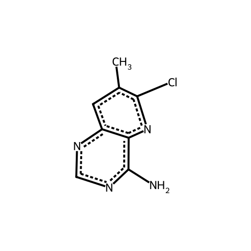 Cc1cc2ncnc(N)c2nc1Cl